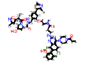 C=CC(=O)N1CCN(c2nc(NCCC(=O)N(C)CCOc3cc(-c4scnc4C)ccc3CNC(=O)[C@@H]3C[C@@H](O)CN3C(=O)[C@H](c3cc(C)no3)C(C)C)nc3c(F)c(-c4c(O)cccc4F)c(Cl)cc23)CC1